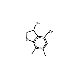 Cc1cc(C(C)C)c2c(c1C)SCC2C(C)C